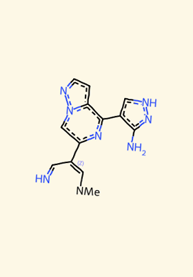 CN/C=C(\C=N)c1cn2nccc2c(-c2c[nH]nc2N)n1